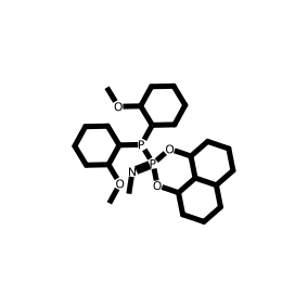 CN=P1(P(C2CCCCC2OC)C2CCCCC2OC)OC2CCCC3CCCC(O1)C32